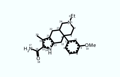 CCN1CCC2(c3cccc(OC)c3)Cc3[nH]c(C(N)=O)c(C)c3CC2C1